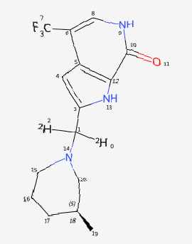 [2H]C([2H])(c1cc2c(C(F)(F)F)c[nH]c(=O)c2[nH]1)N1CCC[C@H](C)C1